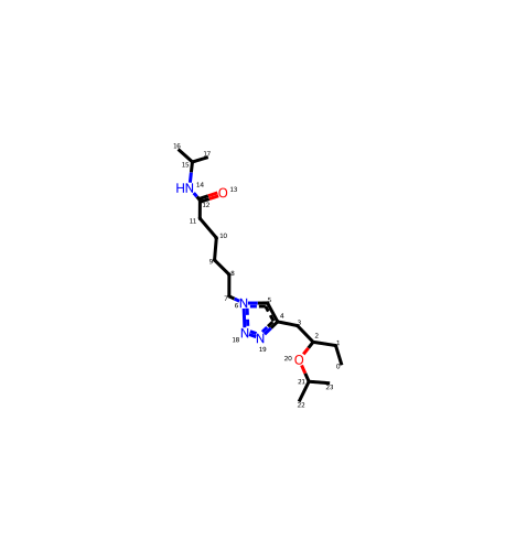 CCC(Cc1cn(CCCCCC(=O)NC(C)C)nn1)OC(C)C